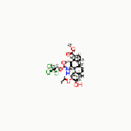 CCO[C@H]1C[C@@]2(C)[C@@H](CC[C@@H]3[C@@H]2[C@H](NC(=O)OCC(Cl)(Cl)Cl)C[C@]2(C)[C@@H](C(=O)OC)CC[C@@H]32)C[C@@H]1O